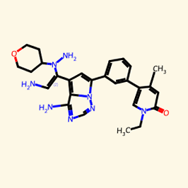 CCn1cc(-c2cccc(-c3cc(/C(=C/N)N(N)C4CCOCC4)c4c(N)ncnn34)c2)c(C)cc1=O